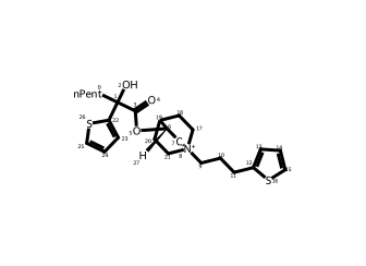 CCCCCC(O)(C(=O)O[C@H]1C[N+]2(CCCc3cccs3)CCC1CC2)c1cccs1